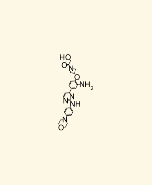 Nc1cc(-c2ccnc(Nc3ccc(N4CCOCC4)cc3)n2)ccc1OC1CN(C(=O)CO)C1